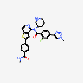 CNC(=O)c1ccc(-c2cc3c(N(C(=O)c4ccc(-c5cn(C)nn5)cc4F)[C@@H]4CCCNC4)nccc3s2)cc1